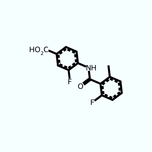 Cc1cccc(F)c1C(=O)Nc1ccc(C(=O)O)cc1F